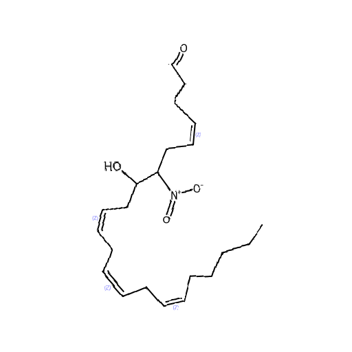 CCCCC/C=C\C/C=C\C/C=C\CC(O)C(C/C=C\CC[C]=O)[N+](=O)[O-]